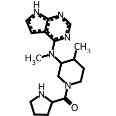 CC1CCN(C(=O)C2CCCN2)CC1N(C)c1ncnc2[nH]ccc12